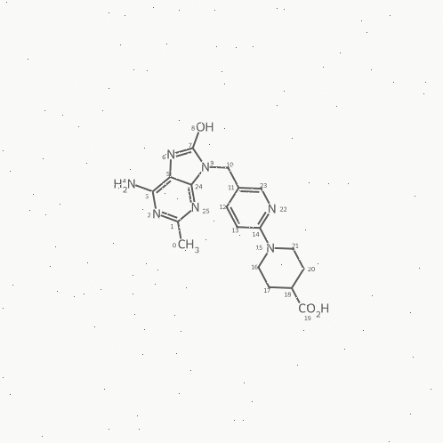 Cc1nc(N)c2nc(O)n(Cc3ccc(N4CCC(C(=O)O)CC4)nc3)c2n1